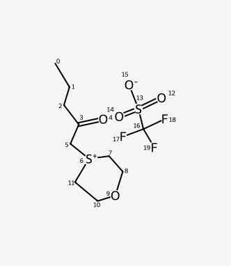 CCCC(=O)C[S+]1CCOCC1.O=S(=O)([O-])C(F)(F)F